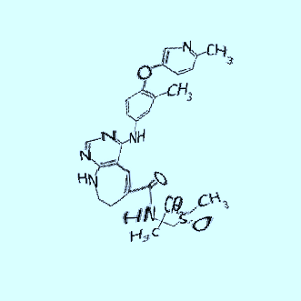 Cc1ccc(Oc2ccc(Nc3ncnc4c3C=C(C(=O)NC(C)(C)CS(C)(=O)=O)CCN4)cc2C)cn1